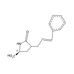 O=C1N[C@H](C(=O)O)CC1CC=Cc1ccccc1